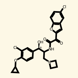 O=C(NC(CN1CCC1)[C@H](O)c1ccc(OC2CC2)c(Cl)c1)C(=O)c1cc2cc(Cl)ccc2o1